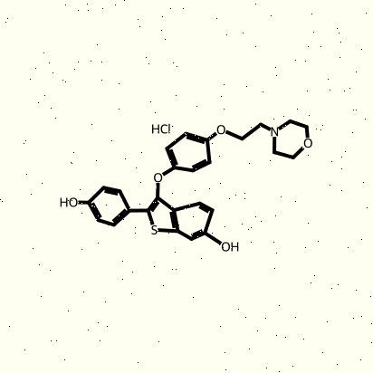 Cl.Oc1ccc(-c2sc3cc(O)ccc3c2Oc2ccc(OCCN3CCOCC3)cc2)cc1